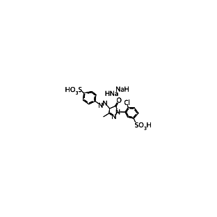 CC1=NN(c2cc(S(=O)(=O)O)ccc2Cl)C(=O)C1/N=N/c1ccc(S(=O)(=O)O)cc1.[NaH].[NaH]